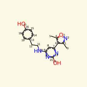 Cc1noc(C)c1-c1cc(NCCc2ccc(O)cc2)nc(O)n1